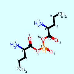 CCCC(N)C(=O)O[PH](=O)OC(=O)C(N)CCC